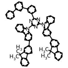 CC1(C)c2ccccc2-c2ccc(-c3ccc4c(c3)c3ccccc3n4-c3nc(-c4cccc(-c5cccc(-c6ccccc6)c5)c4)nc(-n4c5ccccc5c5cc(-c6ccc7c(c6)C(C)(C)c6ccccc6-7)ccc54)n3)cc21